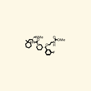 CNC[C@@H](CC1(C)CCCCC1)NC(=O)N1CCC[C@@H](C(OCCNC(=O)OC)c2cccc(F)c2)C1